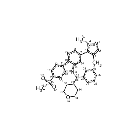 Cc1cnn(C)c1-c1cnc2c3ccc(S(C)(=O)=O)nc3n([C@H](c3ccccc3)C3CCOCC3)c2c1